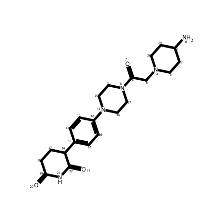 NC1CCN(CC(=O)N2CCN(c3ccc(C4CCC(=O)NC4=O)cc3)CC2)CC1